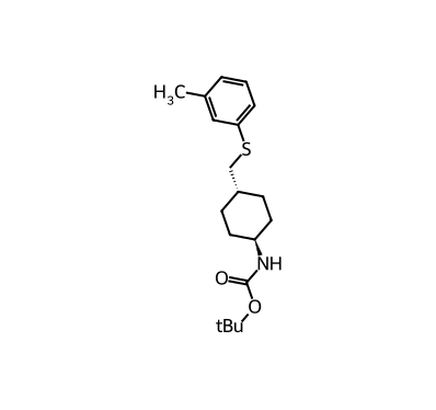 Cc1cccc(SC[C@H]2CC[C@H](NC(=O)OC(C)(C)C)CC2)c1